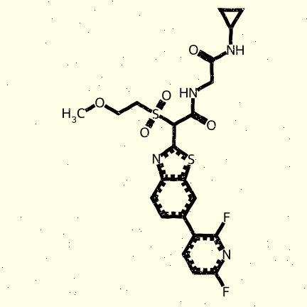 COCCS(=O)(=O)C(C(=O)NCC(=O)NC1CC1)c1nc2ccc(-c3ccc(F)nc3F)cc2s1